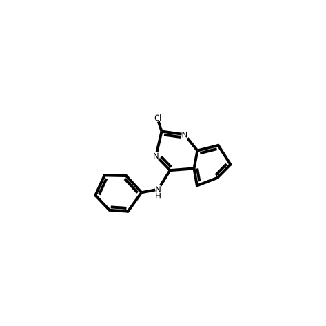 Clc1nc(Nc2ccccc2)c2ccccc2n1